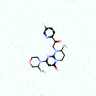 CC1COCCN1c1cc(=O)n2c(n1)N(CC(=O)c1ccc(F)cn1)C(C(F)(F)F)CC2